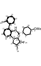 CO[C@H]1CC[C@H](C(=O)Nc2c(-c3ccccc3F)ccnc2N2C[C@@H](F)[C@@H](F)C2)CC1